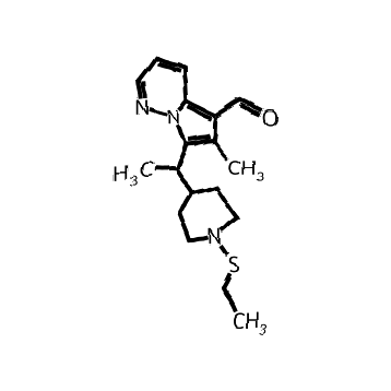 CCSN1CCC(C(C)c2c(C)c(C=O)c3cccnn23)CC1